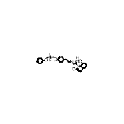 O=c1ccc2cccc(O)c2n1[C@@H](O)CNCCc1ccc(OCC(F)(F)COc2ccccc2)cc1